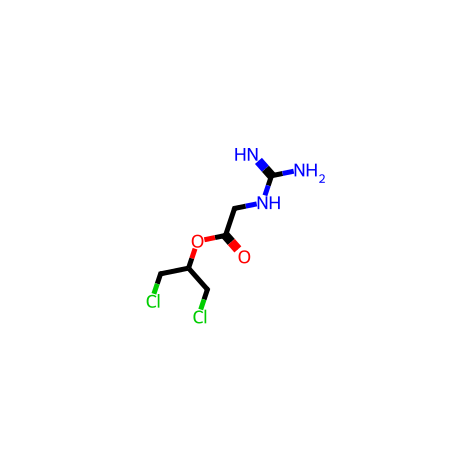 N=C(N)NCC(=O)OC(CCl)CCl